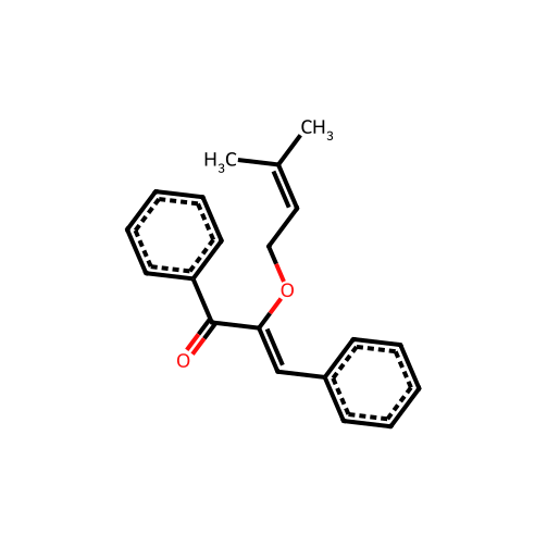 CC(C)=CCOC(=Cc1ccccc1)C(=O)c1ccccc1